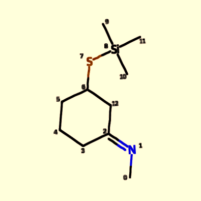 CN=C1CCCC(S[Si](C)(C)C)C1